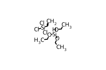 C=C[Si](Cl)(Cl)Cl.CCO[SiH](OCC)OCC